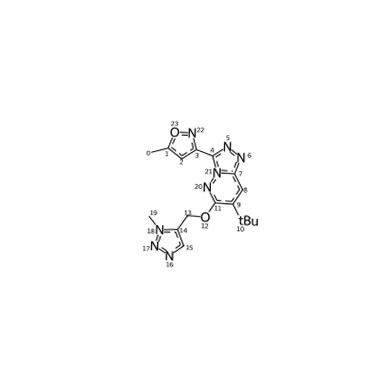 Cc1cc(-c2nnc3cc(C(C)(C)C)c(OCc4cnnn4C)nn23)no1